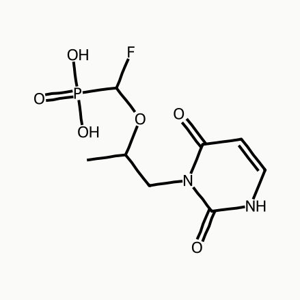 CC(Cn1c(=O)cc[nH]c1=O)OC(F)P(=O)(O)O